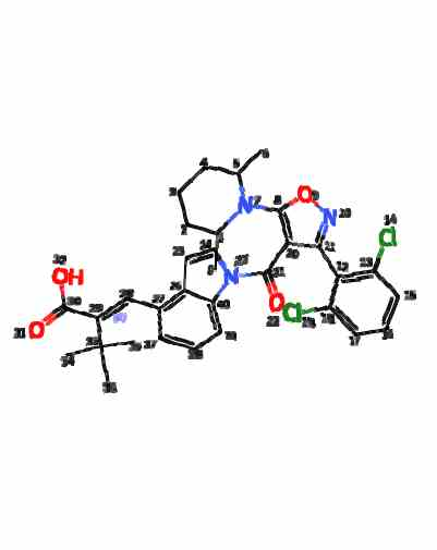 CC1CCCC(C)N1c1onc(-c2c(Cl)cccc2Cl)c1C(=O)n1ccc2c(/C=C(/C(=O)O)C(C)(C)C)cccc21